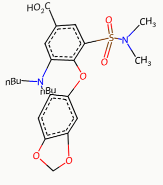 CCCCN(CCCC)c1cc(C(=O)O)cc(S(=O)(=O)N(C)C)c1Oc1ccc2c(c1)OCO2